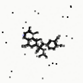 CCN(C)/C=N\c1cc(C)c(S(=O)(CC(C)C)=Nc2ccc(F)c(Cl)c2)cc1Cl